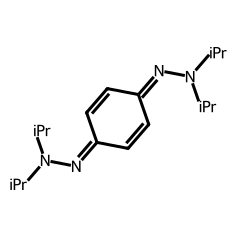 CC(C)N(N=C1C=CC(=NN(C(C)C)C(C)C)C=C1)C(C)C